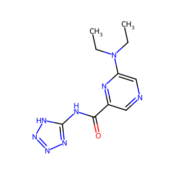 CCN(CC)c1cncc(C(=O)Nc2nnn[nH]2)n1